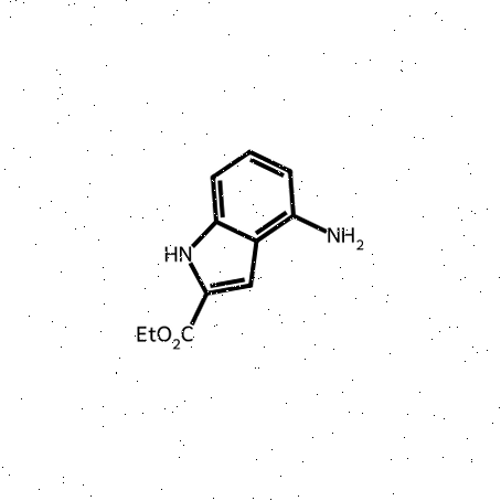 CCOC(=O)c1cc2c(N)cccc2[nH]1